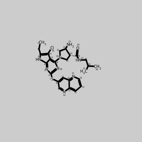 CCc1[nH]c2nc(Sc3cnc4cccnc4c3)nc(N3CC(N)[C@H](C(=O)NCC(C)C)C3)c2c1Cl